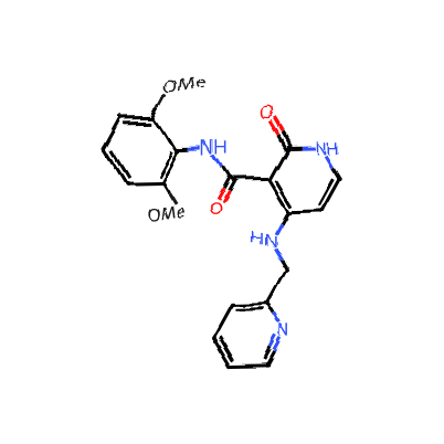 COc1cccc(OC)c1NC(=O)c1c(NCc2ccccn2)cc[nH]c1=O